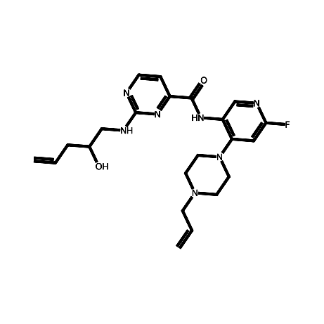 C=CCC(O)CNc1nccc(C(=O)Nc2cnc(F)cc2N2CCN(CC=C)CC2)n1